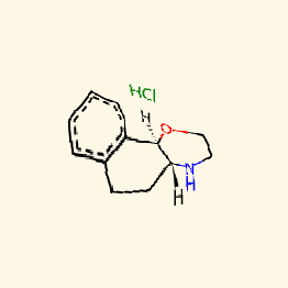 Cl.c1ccc2c(c1)CC[C@H]1NCCO[C@H]21